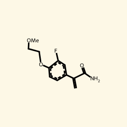 C=C(C(N)=O)c1ccc(OCCOC)c(F)c1